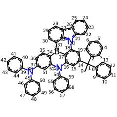 CC(c1ccccc1)(c1ccccc1)c1cc2c3c(c1)-n1c4ccccc4c4cccc(c41)B3c1ccc(N(c3ccccc3)c3ccccc3)cc1N2c1ccccc1